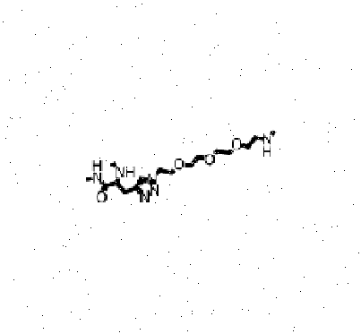 CNCCOCCOCCOCCn1cc(CC(NC)C(=O)NC)nn1